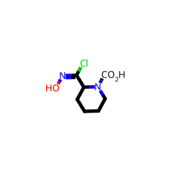 O=C(O)N1CCCCC1/C(Cl)=N\O